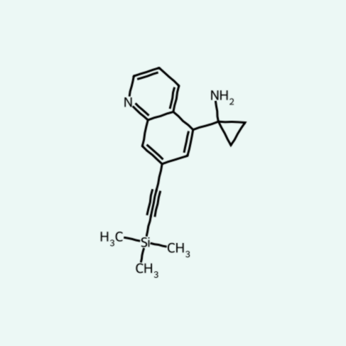 C[Si](C)(C)C#Cc1cc(C2(N)CC2)c2cccnc2c1